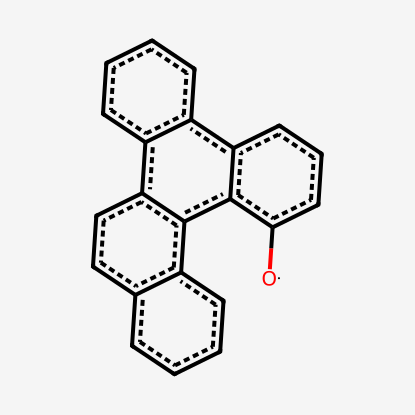 [O]c1cccc2c3ccccc3c3ccc4ccccc4c3c12